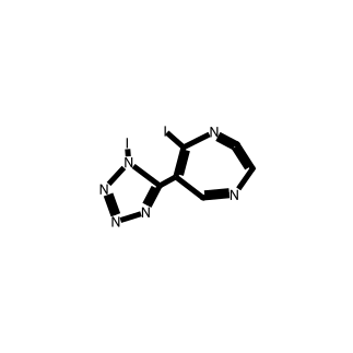 IC1=C(c2nnnn2I)C=NC=C=N1